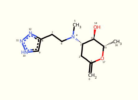 C=C1C[C@H](N(C)CCc2c[nH]nn2)[C@@H](O)[C@H](C)O1